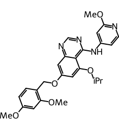 COc1ccc(COc2cc(OC(C)C)c3c(Nc4ccnc(OC)c4)ncnc3c2)c(OC)c1